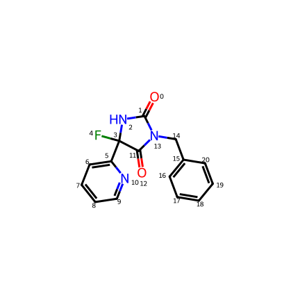 O=C1NC(F)(c2ccccn2)C(=O)N1Cc1ccccc1